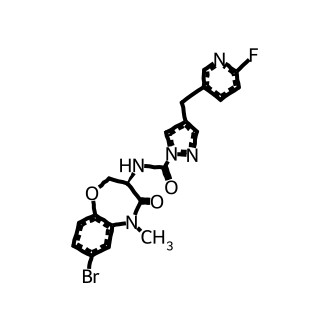 CN1C(=O)[C@H](NC(=O)n2cc(Cc3ccc(F)nc3)cn2)COc2ccc(Br)cc21